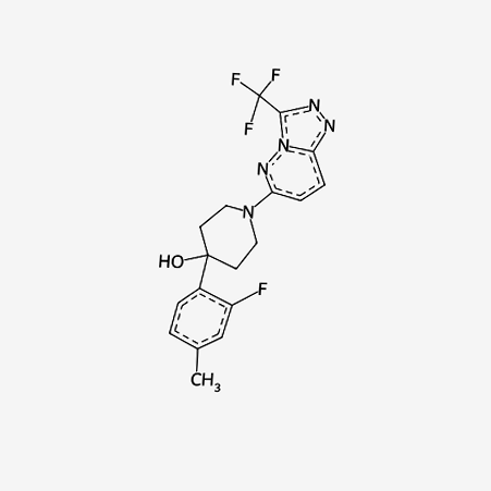 Cc1ccc(C2(O)CCN(c3ccc4nnc(C(F)(F)F)n4n3)CC2)c(F)c1